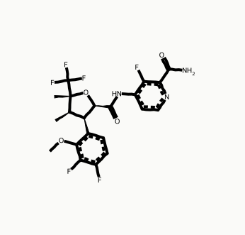 COc1c([C@H]2[C@@H](C)[C@](C)(C(F)(F)F)O[C@H]2C(=O)Nc2ccnc(C(N)=O)c2F)ccc(F)c1F